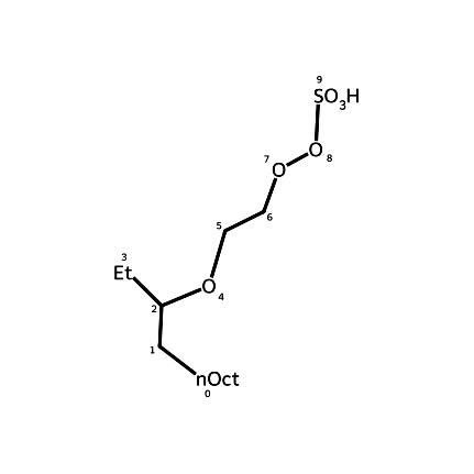 CCCCCCCCCC(CC)OCCOOS(=O)(=O)O